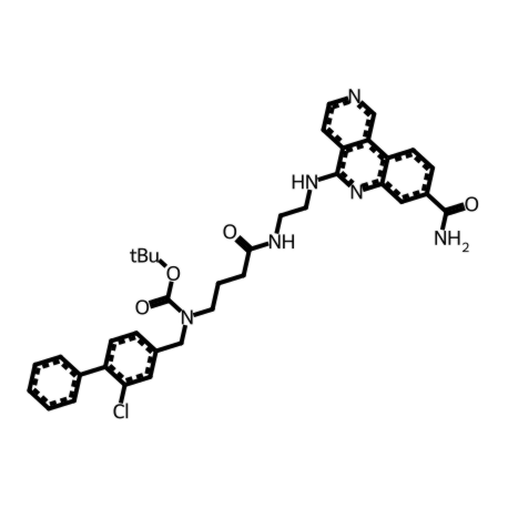 CC(C)(C)OC(=O)N(CCCC(=O)NCCNc1nc2cc(C(N)=O)ccc2c2cnccc12)Cc1ccc(-c2ccccc2)c(Cl)c1